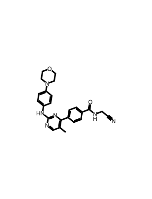 Cc1cnc(Nc2ccc(N3CCOCC3)cc2)nc1-c1ccc(C(=O)NCC#N)cc1